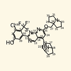 Oc1cc(Cl)c(C(F)(F)F)c(-c2ncc3c(N4CC5CCC(C4)N5)cc(OCC45CCCN4CCC5)nc3n2)c1